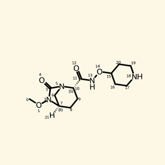 CON1C(=O)N2C[C@H]1CC[C@H]2C(=O)NOC1CCNCC1